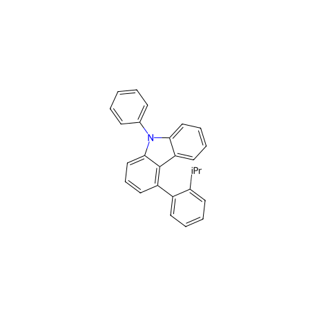 CC(C)c1ccccc1-c1cccc2c1c1ccccc1n2-c1ccccc1